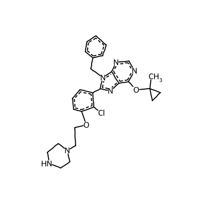 CC1(Oc2ncnc3c2nc(-c2cccc(OCCN4CCNCC4)c2Cl)n3Cc2ccccc2)CC1